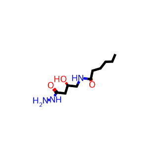 CCCCCC(=O)NCC(O)CC(=O)NN